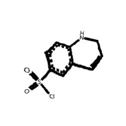 O=S(=O)(Cl)c1ccc2c(c1)C=CCN2